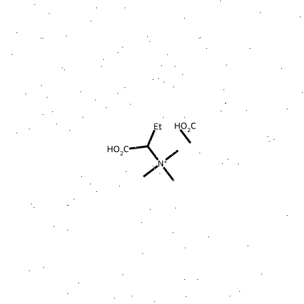 CC(=O)O.CCC(C(=O)O)[N+](C)(C)C